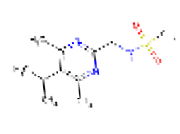 Cc1nc(CNS(C)(=O)=O)nc(C)c1C(C)C